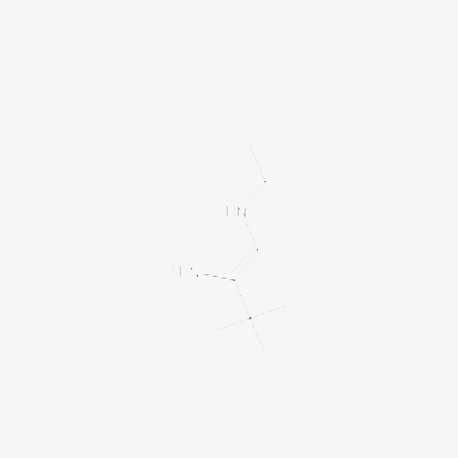 CCN/C=C(\N)C(C)(C)C